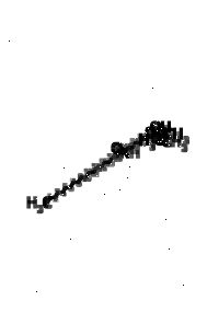 CCCCCCCCCCCCCCCCCCCC(=O)NCCCCCCOP(=O)(O)OC(C)(C)C